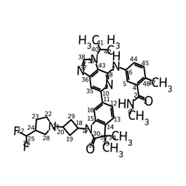 CNC(=O)c1cc(Nc2nc(-c3ccc4c(c3)N(C3CC(N5CCC(C(F)F)C5)C3)C(=O)C4(C)C)cc3ncn(C(C)C)c23)ccc1C